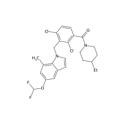 CCC1CCN(C(=O)c2ccc(Cl)c(Cn3ccc4cc(OC(F)F)cc(C)c43)c2Cl)CC1